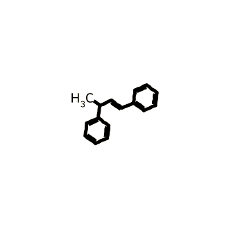 C[C](C=Cc1ccccc1)c1ccccc1